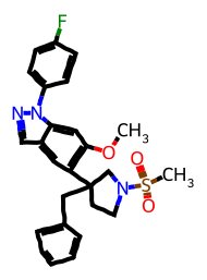 COc1cc2c(cnn2-c2ccc(F)cc2)cc1C1(Cc2ccccc2)CCN(S(C)(=O)=O)C1